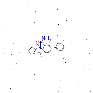 CC(C)C1(NC2CCCC2)C=CC(c2ccccc2)=CC1C(N)=O